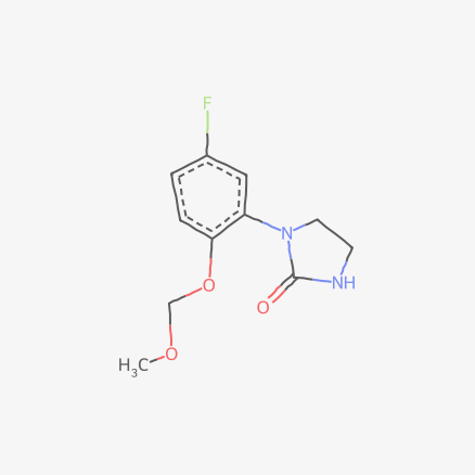 COCOc1ccc(F)cc1N1CCNC1=O